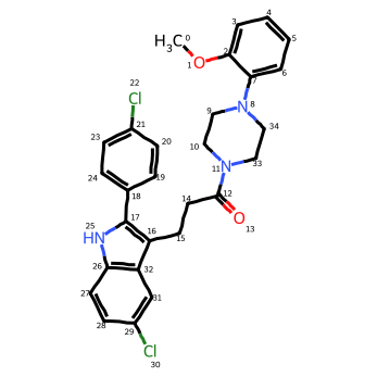 COc1ccccc1N1CCN(C(=O)CCc2c(-c3ccc(Cl)cc3)[nH]c3ccc(Cl)cc23)CC1